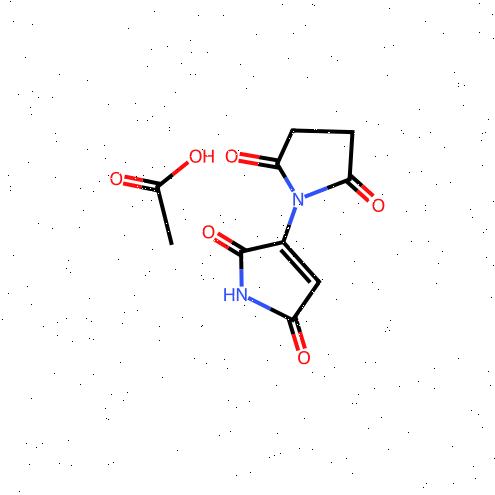 CC(=O)O.O=C1C=C(N2C(=O)CCC2=O)C(=O)N1